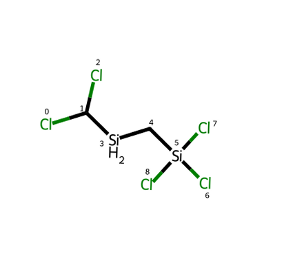 ClC(Cl)[SiH2]C[Si](Cl)(Cl)Cl